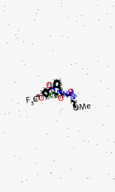 COCCCN(C)C(=O)CNC(=O)N1Cc2ccccc2N(C(=O)c2ccc(OCC(F)(F)F)cc2Cl)C[C@H]1C